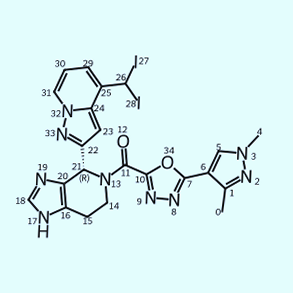 Cc1nn(C)cc1-c1nnc(C(=O)N2CCc3[nH]cnc3[C@@H]2c2cc3c(C(I)I)cccn3n2)o1